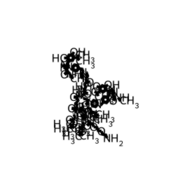 CCNC(=O)c1nnc(-c2cc(C(C)C)c(O)cc2O)n1-c1ccc(CN2CCN(C(=O)CCNC(=O)[C@@H](CCC(=O)N3CCN(Cc4ccc(-n5c(C(=O)NCC)nnc5-c5cc(C(C)C)c(O)cc5O)cc4)CC3)NC(=O)CCNC(=O)[C@@H](CCC(=O)OC(C)(C)C)NC(=O)[C@@H](CCC(=O)CC(C)(C)C)NC(=O)[C@@H](CCC(=O)OC(C)(C)C)NC(=O)COCCOCCN)CC2)cc1